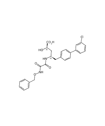 O=C(NOCc1ccccc1)C(=O)N[C@H](Cc1ccc(-c2cccc(Cl)c2)cc1)C[C@@H](O)C(=O)O